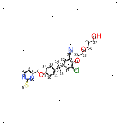 CSc1nccc(COc2ccc(C(C)(C)c3cc(Cl)c(OCCOCCCO)c(C#N)c3)cc2)n1